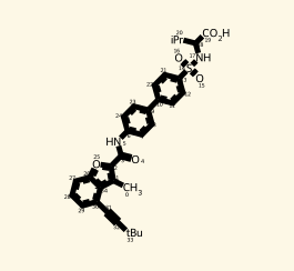 Cc1c(C(=O)Nc2ccc(-c3ccc(S(=O)(=O)NC(C(=O)O)C(C)C)cc3)cc2)oc2cccc(C#CC(C)(C)C)c12